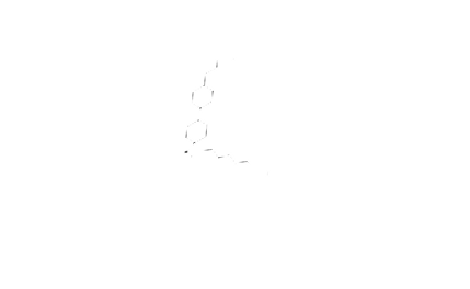 CCCCCCC[C@]1(C(F)(F)F)CC[C@@H](C2CCC(CCC)CC2)CC1